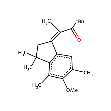 COc1c(C)cc2c(c1C)C(C)(C)CC2=C(C)C(=O)C(C)(C)C